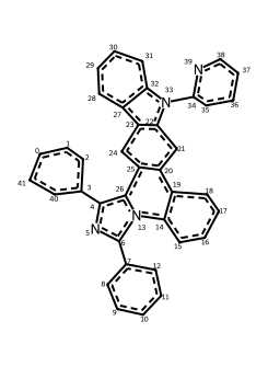 c1ccc(-c2nc(-c3ccccc3)n3c4ccccc4c4cc5c(cc4c23)c2ccccc2n5-c2ccccn2)cc1